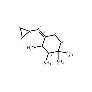 CC1/C(=N\C2CC2)CCC(C)(C)C1C